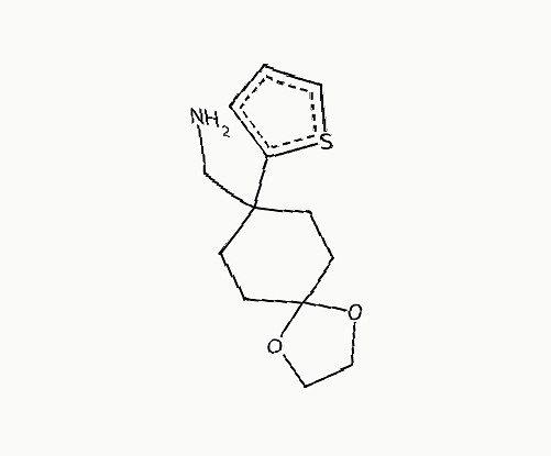 NCC1(c2cccs2)CCC2(CC1)OCCO2